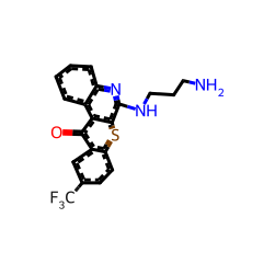 NCCCNc1nc2ccccc2c2c(=O)c3cc(C(F)(F)F)ccc3sc12